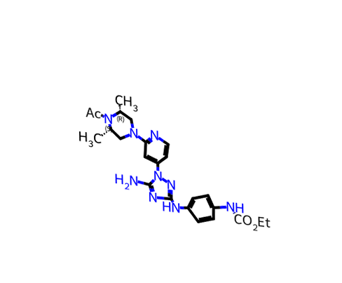 CCOC(=O)Nc1ccc(Nc2nc(N)n(-c3ccnc(N4C[C@@H](C)N(C(C)=O)[C@@H](C)C4)c3)n2)cc1